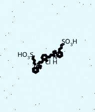 CC1(C)C(C=CC2=C(Cl)C(=CC=C3Nc4cccc(CCCCS(=O)(=O)O)c4C3(C)C)CCC2)=[N+](CCCCS(=O)(=O)O)c2ccccc21